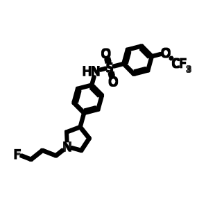 O=S(=O)(Nc1ccc(C2CCN(CCCF)C2)cc1)c1ccc(OC(F)(F)F)cc1